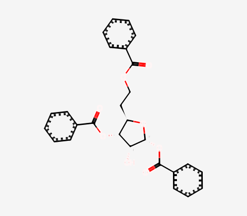 O=C(OCC[C@H]1O[C@H](OC(=O)c2ccccc2)[C@H](O)[C@@H]1OC(=O)c1ccccc1)c1ccccc1